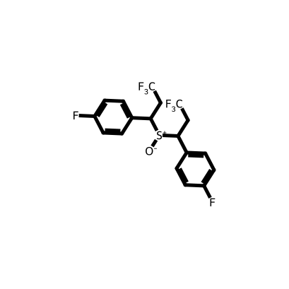 [O-][S+](C(CC(F)(F)F)c1ccc(F)cc1)C(CC(F)(F)F)c1ccc(F)cc1